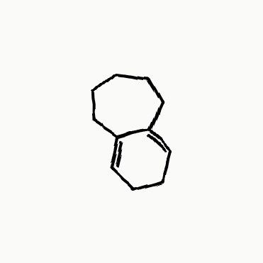 C1=C2CCCCCC2=CCC1